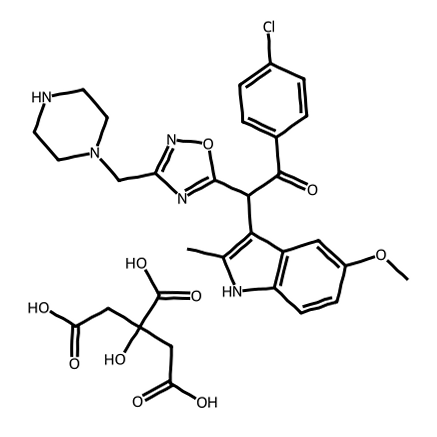 COc1ccc2[nH]c(C)c(C(C(=O)c3ccc(Cl)cc3)c3nc(CN4CCNCC4)no3)c2c1.O=C(O)CC(O)(CC(=O)O)C(=O)O